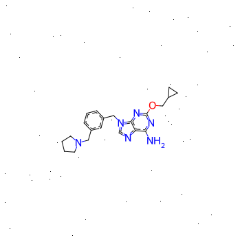 Nc1nc(OCC2CC2)nc2c1ncn2Cc1cccc(CN2CCCC2)c1